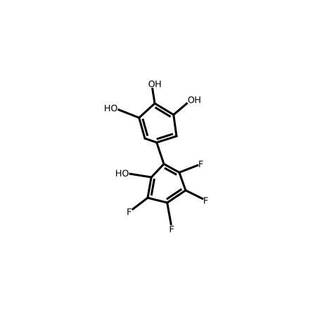 Oc1cc(-c2c(O)c(F)c(F)c(F)c2F)cc(O)c1O